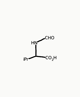 CC(C)C(NC=O)C(=O)O